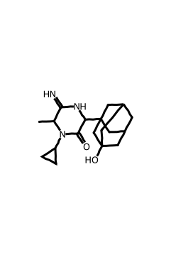 CC1C(=N)NC(C23CC4CC(CC(O)(C4)C2)C3)C(=O)N1C1CC1